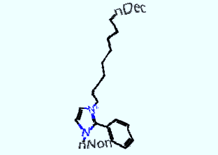 CCCCCCCCCCCCCCCCCC[n+]1ccn(CCCCCCCCC)c1-c1ccccc1